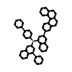 c1ccc(-c2ccc(N(c3cc(-c4ccccc4)c4ccccc4c3)c3cc(-c4ccc5c(ccc6ccc7ccccc7c65)c4)cc4ccccc34)cc2)cc1